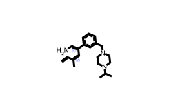 C=C/C(C)=C\C(=C/N)c1cccc(CN2CCN(C(C)C)CC2)c1